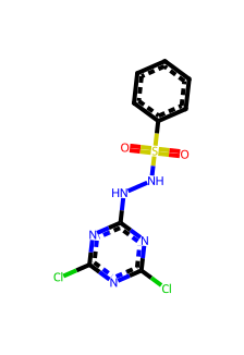 O=S(=O)(NNc1nc(Cl)nc(Cl)n1)c1ccccc1